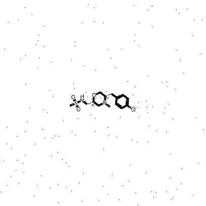 CN1C[C@H](CNS(C)(=O)=O)OC[C@@H]1Cc1ccc(Cl)cc1